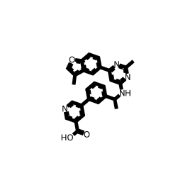 Cc1nc(NC(C)c2cccc(-c3cncc(C(=O)O)c3)c2)cc(-c2ccc3occ(C)c3c2)n1